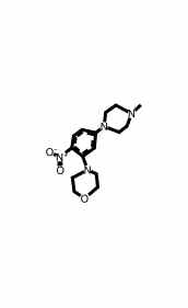 CN1CCN(c2ccc([N+](=O)[O-])c(N3CCOCC3)c2)CC1